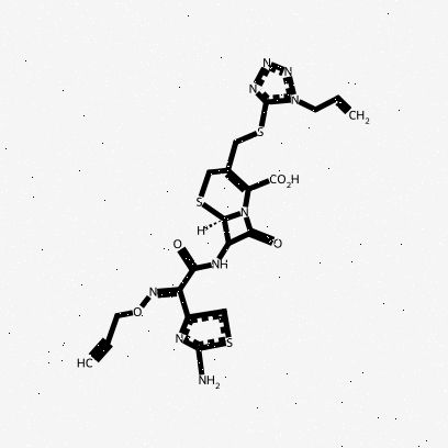 C#CCO/N=C(/C(=O)NC1C(=O)N2C(C(=O)O)=C(CSc3nnnn3CC=C)CS[C@H]12)c1csc(N)n1